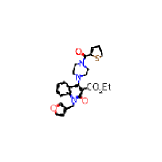 CCOC(=O)c1c(N2CCN(C(=O)C3=CCCS3)CC2)c2ccccc2n(Cc2ccoc2)c1=O